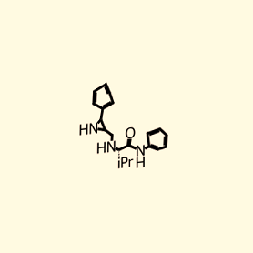 CC(C)[C@H](NCC1NC1c1ccccc1)C(=O)Nc1ccccc1